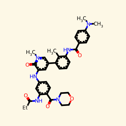 CCC(=O)Nc1cc(Nc2cc(-c3cccc(NC(=O)c4ccc(N(C)C)cc4)c3C)cn(C)c2=O)ccc1C(=O)N1CCOCC1